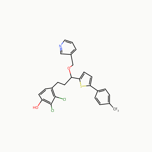 Oc1ccc(CCC(OCc2cccnc2)c2ccc(-c3ccc(C(F)(F)F)cc3)s2)c(Cl)c1Cl